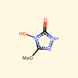 COc1n[nH]c(=O)n1O